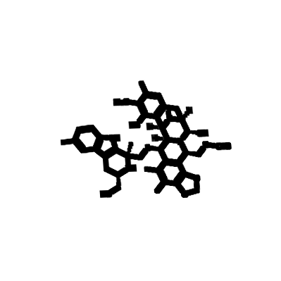 COc1c(C)cc2c(c1O)[C@@H]1[C@@H]3[C@H](SC[C@@]4(C)N[C@H](CO)Cc5c4[nH]c4ccc(C)cc54)c4c(C)c(C)c5c(c4[C@H](COC=O)N3[C@@H](O)[C@H](C2)N1C)OCO5